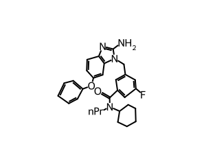 CCCN(C(=O)c1cc(F)cc(Cn2c(N)nc3ccc(Oc4ccccc4)cc32)c1)C1CCCCC1